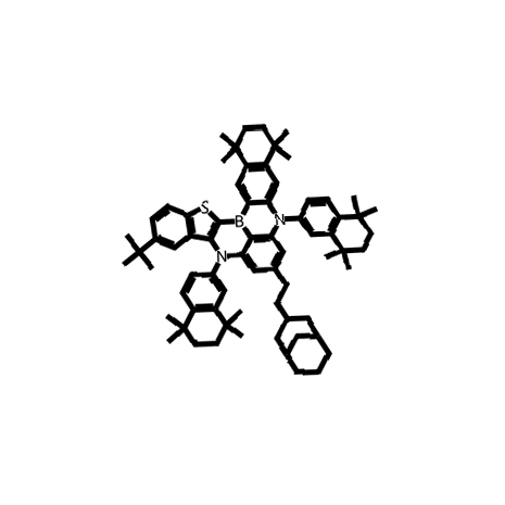 CC(C)(C)c1ccc2sc3c(c2c1)N(c1ccc2c(c1)C(C)(C)CCC2(C)C)c1cc(CCC2CC4CCCC(C4)C2)cc2c1B3c1cc3c(cc1N2c1ccc2c(c1)C(C)(C)CCC2(C)C)C(C)(C)CCC3(C)C